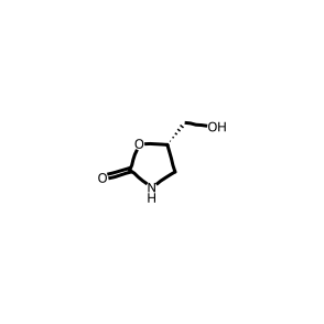 O=C1NC[C@@H](CO)O1